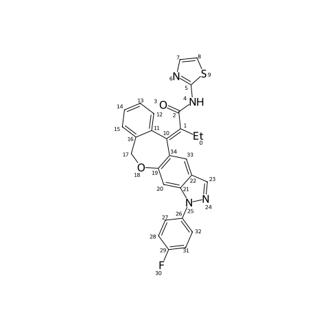 CCC(C(=O)Nc1nccs1)=C1c2ccccc2COc2cc3c(cnn3-c3ccc(F)cc3)cc21